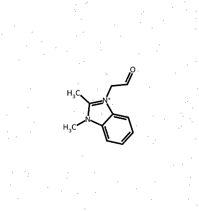 Cc1n(C)c2ccccc2[n+]1CC=O